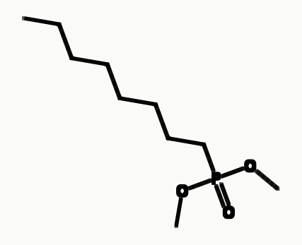 CCCCCCCCP(=O)(OC)OC